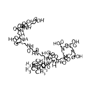 CC(C)(C)[Si](F)(c1ccc(C(=O)NC[C@H](NC(=O)CC[C@@H](C(=O)O)N2CCN(CC(=O)O)CCN(CC(=O)O)CCN(CC(=O)O)CC2)C(=O)N[C@H](CCCCNC(=O)CCC(=O)NCCC[C@@H](NC(=O)CC[C@H](NC(=O)N[C@@H](CCCC(=O)O)C(=O)O)C(=O)O)C(=O)O)C(=O)O)cc1)C(C)(C)C